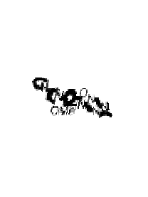 COc1cc(N2CC[C@@H](N3CCCC3)C2)ccc1C(=O)Nc1cn2cc(C)nc2cn1